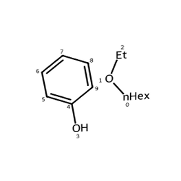 CCCCCCOCC.Oc1ccccc1